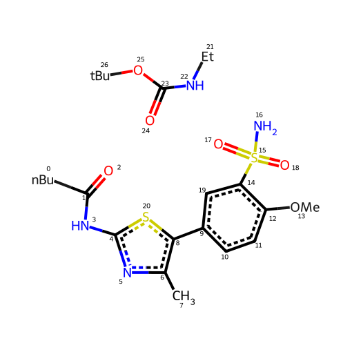 CCCCC(=O)Nc1nc(C)c(-c2ccc(OC)c(S(N)(=O)=O)c2)s1.CCNC(=O)OC(C)(C)C